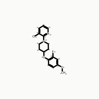 COc1ccc(OC2CCN(c3ncccc3Cl)CC2)c(F)c1